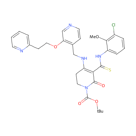 COc1c(Cl)cccc1NC(=S)C1=C(NCc2ccncc2OCCc2ccccn2)CCN(C(=O)OC(C)(C)C)C1=O